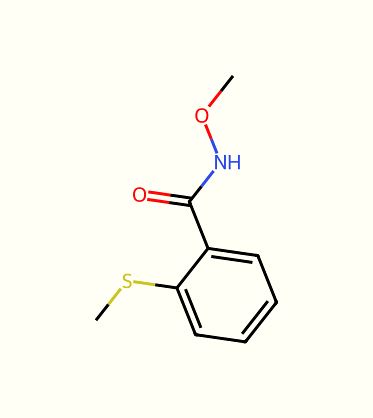 CONC(=O)c1ccccc1SC